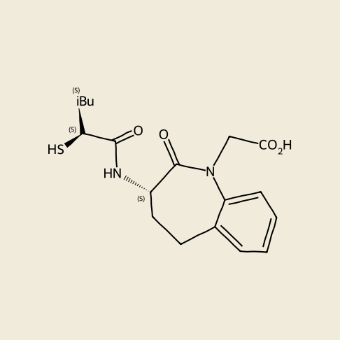 CC[C@H](C)[C@H](S)C(=O)N[C@H]1CCc2ccccc2N(CC(=O)O)C1=O